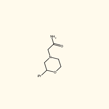 CC(C)C1CN(CC(N)=O)CCO1